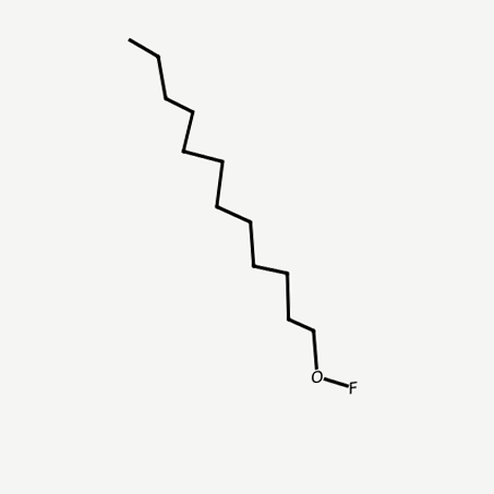 CCCCCCCCCCCCOF